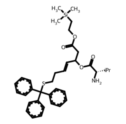 CC(C)[C@H](N)C(=O)OC(/C=C/CCSC(c1ccccc1)(c1ccccc1)c1ccccc1)CC(=O)OCC[Si](C)(C)C